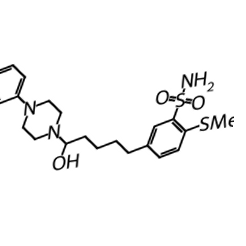 CSc1ccc(CCCCC(O)N2CCN(c3ccccc3)CC2)cc1S(N)(=O)=O